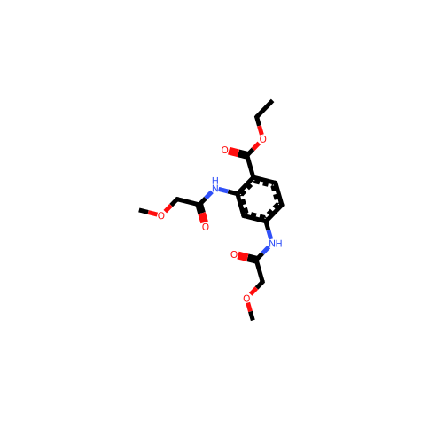 CCOC(=O)c1ccc(NC(=O)COC)cc1NC(=O)COC